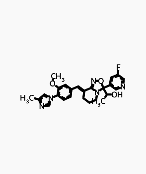 COc1cc(/C=C2\CCCN3C2=NOC3(c2cncc(F)c2)C(C)O)ccc1-n1cnc(C)c1